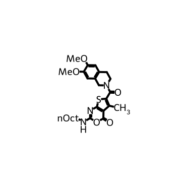 CCCCCCCCNc1nc2sc(C(=O)N3CCc4cc(OC)c(OC)cc4C3)c(C)c2c(=O)o1